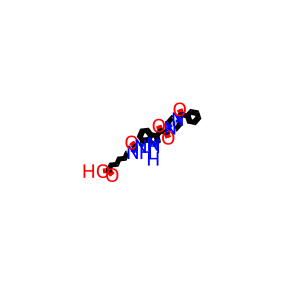 O=C(O)CCCCCNC(=O)Nc1cccc2c(C(=O)C(=O)N3CCN(C(=O)c4ccccc4)CC3)c[nH]c12